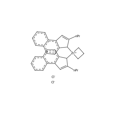 CCCC1=Cc2c(ccc3ccccc23)[CH]1[Zr+2]1([CH]2C(CCC)=Cc3c2ccc2ccccc32)[CH2]C[CH2]1.[Cl-].[Cl-]